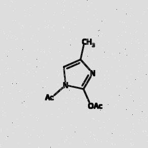 CC(=O)Oc1nc(C)cn1C(C)=O